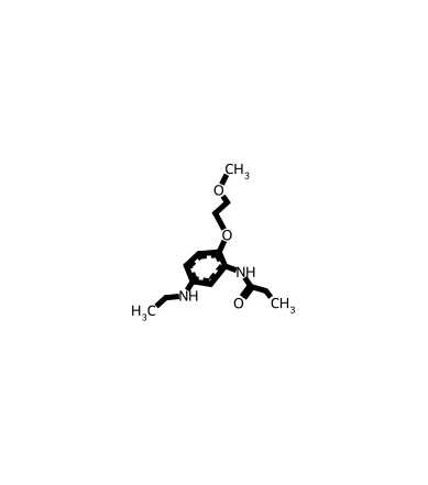 CCNc1ccc(OCCOC)c(NC(=O)CC)c1